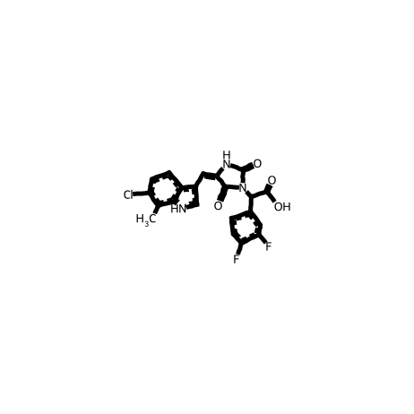 Cc1c(Cl)ccc2c(C=C3NC(=O)N(C(C(=O)O)c4ccc(F)c(F)c4)C3=O)c[nH]c12